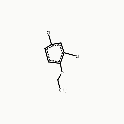 [CH2]COc1ccc(Cl)cc1Cl